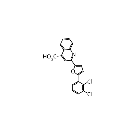 O=C(O)c1cc(-c2ccc(-c3cccc(Cl)c3Cl)o2)nc2ccccc12